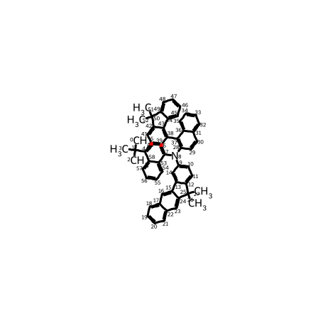 CC(C)(C)c1ccc(N(c2ccc3c(c2)-c2cc4ccccc4cc2C3(C)C)c2ccc3ccccc3c2-c2cccc3c2-c2ccccc2C3(C)C)c2ccccc12